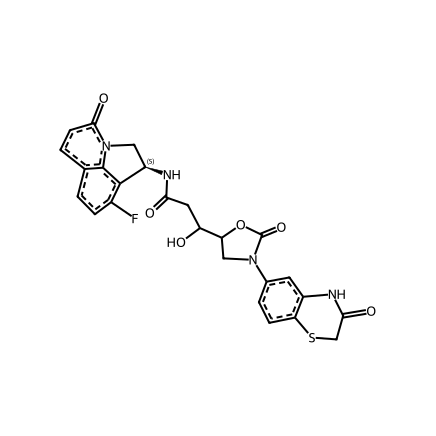 O=C1CSc2ccc(N3CC(C(O)CC(=O)N[C@@H]4Cn5c(=O)ccc6ccc(F)c4c65)OC3=O)cc2N1